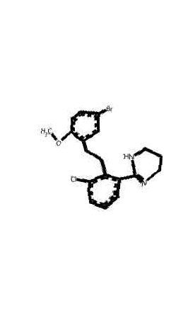 COc1ccc(Br)cc1CCc1c(Cl)cccc1C1=NCCCN1